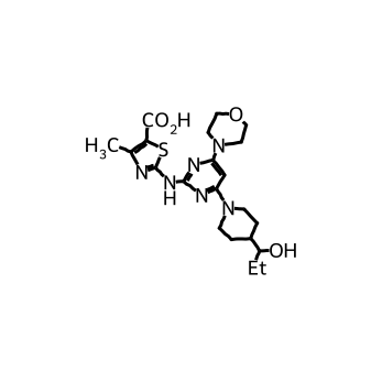 CCC(O)C1CCN(c2cc(N3CCOCC3)nc(Nc3nc(C)c(C(=O)O)s3)n2)CC1